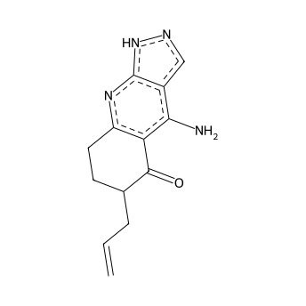 C=CCC1CCc2nc3[nH]ncc3c(N)c2C1=O